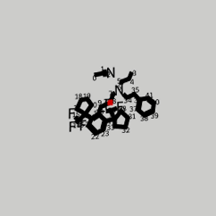 CC#N.CCCN(CCCc1c(C2(C(F)(F)F)CCCC2)cccc1C1(C(F)(F)F)CCCC1)CCc1ccccc1